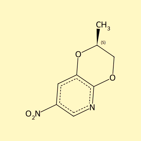 C[C@H]1COc2ncc([N+](=O)[O-])cc2O1